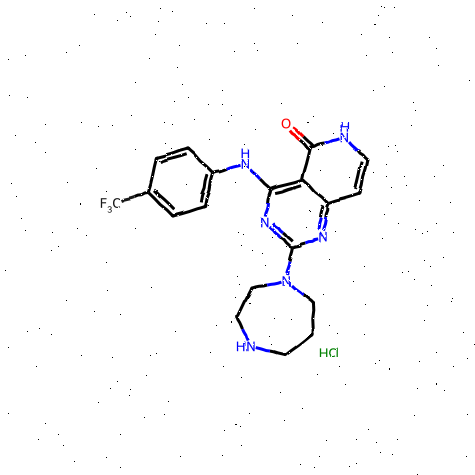 Cl.O=c1[nH]ccc2nc(N3CCCNCC3)nc(Nc3ccc(C(F)(F)F)cc3)c12